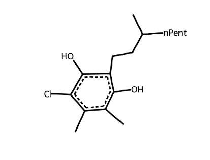 CCCCCC(C)CCc1c(O)c(C)c(C)c(Cl)c1O